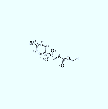 CCOC(=O)/C=C/S(=O)(=O)c1ccc(Br)cc1